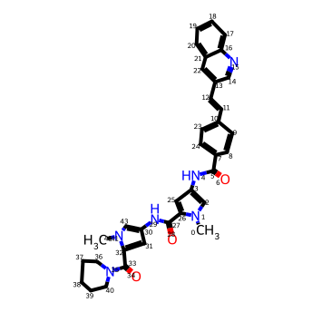 Cn1cc(NC(=O)c2ccc(/C=C/c3cnc4ccccc4c3)cc2)cc1C(=O)Nc1cc(C(=O)N2CCCCC2)n(C)c1